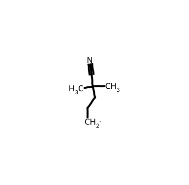 [CH2]CCC(C)(C)C#N